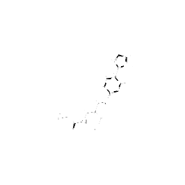 CC(C)(C)OC(=O)NCC(CF)COc1ccc(-c2nccs2)cc1